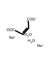 O.O.O=C([O-])/C=C\C(=O)[O-].[Na+].[Na+]